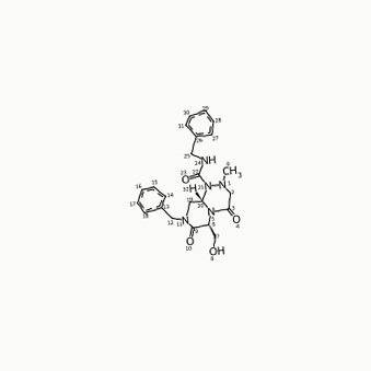 CN1CC(=O)N2[C@@H](CO)C(=O)N(Cc3ccccc3)C[C@@H]2N1C(=O)NCc1ccccc1